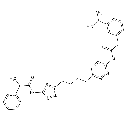 CC(N)c1cccc(CC(=O)Nc2ccc(CCCCc3nnc(NC(=O)C(C)c4ccccc4)s3)nn2)c1